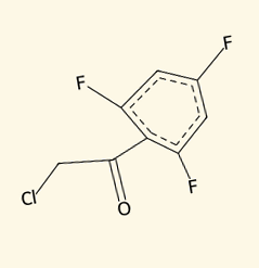 O=C(CCl)c1c(F)cc(F)cc1F